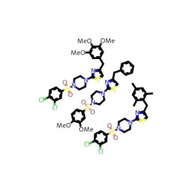 COc1cc(Cc2csc(N3CCN(S(=O)(=O)c4ccc(Cl)c(Cl)c4)CC3)n2)cc(OC)c1OC.COc1ccc(S(=O)(=O)N2CCN(c3nc(Cc4ccccc4)cs3)CC2)cc1OC.Cc1cc(C)c(Cc2csc(N3CCN(S(=O)(=O)c4ccc(Cl)c(Cl)c4)CC3)n2)c(C)c1